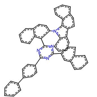 c1ccc(-c2ccc(-c3nc(-c4ccc5ccccc5c4)nc(-c4c(-n5c6ccccc6c6ccc7ccccc7c65)ccc5ccccc45)n3)cc2)cc1